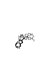 CC(C)(C)OC(=O)C1=CC2=CN=CC=CN2N1